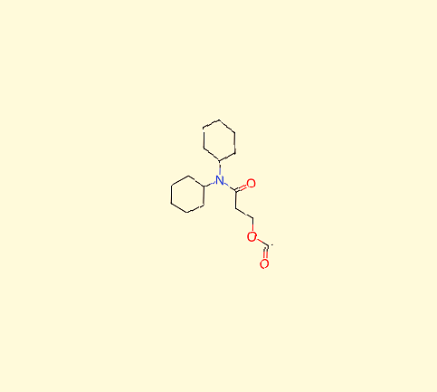 O=[C]OCCC(=O)N(C1CCCCC1)C1CCCCC1